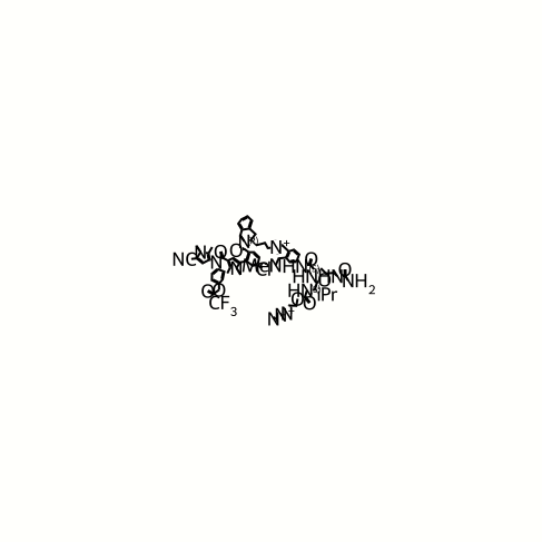 CNCc1cc(NC(=O)[C@H](CCCNC(N)=O)NC(=O)[C@@H](NC(=O)OCCN=[N+]=[N-])C(C)C)ccc1C[N+](C)(C)CCC[C@@H]1Cc2ccccc2CN1C(=O)c1ccc(Cl)cc1-c1cc(C(=O)N(c2ccc(OC(=O)C(F)(F)F)cc2)c2cc(C#N)n(C)c2C)c(C)n1C